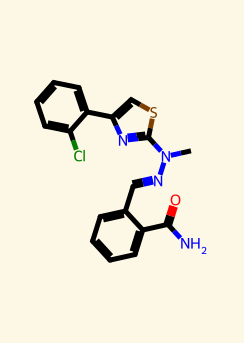 CN(N=Cc1ccccc1C(N)=O)c1nc(-c2ccccc2Cl)cs1